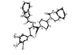 Nc1c(Br)cc(C(=O)C[C@@H](NC(=O)c2cc3ccccc3[nH]2)C(=O)N2CCC(N3CCc4ccccc4NC3=O)CC2)cc1Br